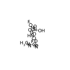 Cn1cnc(-c2cc(Oc3ccc(NC(=O)Oc4cn(CCO)c(=O)n(-c5ccc(F)cc5)c4=O)cc3F)c3ccnn3c2)c1